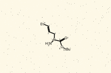 CC/C=C/CN(N)C(=O)OC(C)(C)C